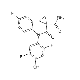 NC(=O)C1(C(=O)N(c2ccc(F)cc2)c2cc(F)c(O)cc2F)CC1